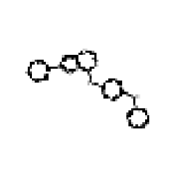 c1ccc(Nc2ccc(Nc3ncnc4cc(-c5ccccc5)sc34)cc2)cc1